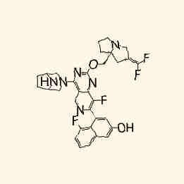 Oc1cc(-c2ncc3c(N4CC5CCC(C4)N5)nc(OC[C@@]45CCCN4CC(=C(F)F)C5)nc3c2F)c2c(F)cccc2c1